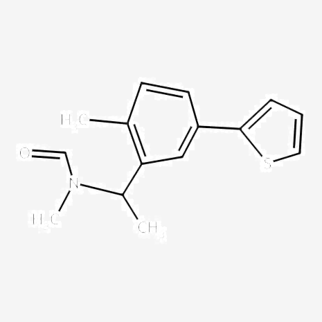 Cc1ccc(-c2cccs2)cc1C(C)N(C)C=O